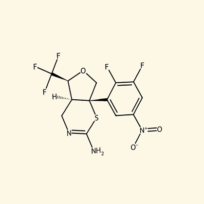 NC1=NC[C@H]2[C@@H](C(F)(F)F)OC[C@]2(c2cc([N+](=O)[O-])cc(F)c2F)S1